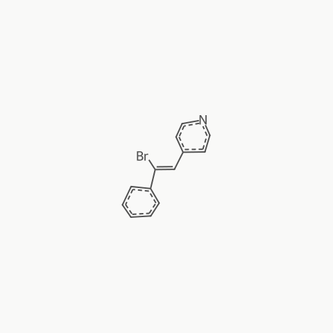 BrC(=Cc1ccncc1)c1ccccc1